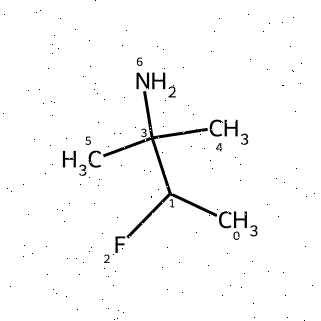 CC(F)C(C)(C)N